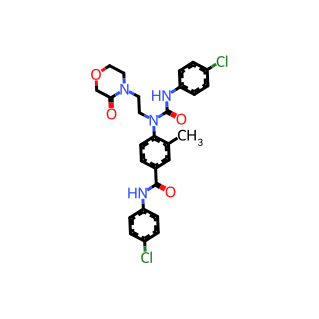 Cc1cc(C(=O)Nc2ccc(Cl)cc2)ccc1N(CCN1CCOCC1=O)C(=O)Nc1ccc(Cl)cc1